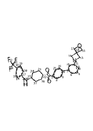 O=S(=O)(c1ccc(-c2ccnc(N3CC4(COC4)C3)c2)cc1)[C@H]1CC[C@H](Nc2ccc(C(F)(F)F)cn2)CC1